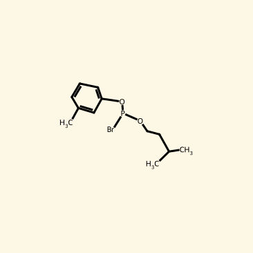 Cc1cccc(OP(Br)OCCC(C)C)c1